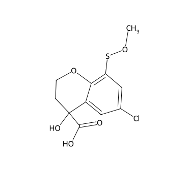 COSc1cc(Cl)cc2c1OCCC2(O)C(=O)O